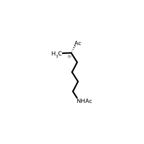 CC(=O)NCCCC[C@H](C)C(C)=O